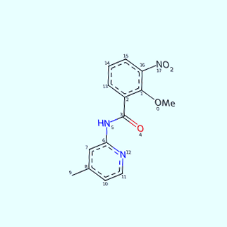 COc1c(C(=O)Nc2cc(C)ccn2)cccc1[N+](=O)[O-]